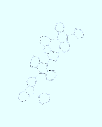 c1ccc(-c2c3ccccc3c(-c3cccc4sc5c(-c6c7ccccc7c(-c7ccc8c9ccccc9n(-c9ccccc9)c8c7)c7ccccc67)cccc5c34)c3ccccc23)cc1